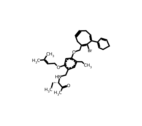 CCc1cc(CN[C@@H](CC)C(C)=O)c(OCC=C(C)C)cc1OC/C1=C(Br)/C(C2=CCCC=C2)=C\CC#CC1